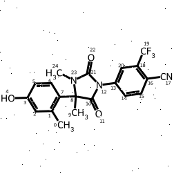 Cc1cc(O)ccc1C1(C)C(=O)N(c2ccc(C#N)c(C(F)(F)F)c2)C(=O)N1C